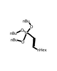 CCCCCC/C=C/[Si](OCCCC)(OCCCC)OCCCC